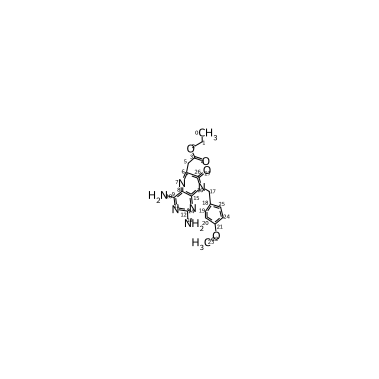 CCOC(=O)Cc1nc2c(N)nc(N)nc2n(Cc2ccc(OC)cc2)c1=O